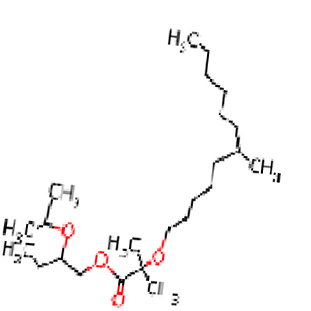 CCCCCCC(C)CCCCCOC(C)(C)C(=O)OCC(CC)OC(C)C